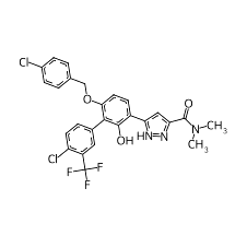 CN(C)C(=O)c1cc(-c2ccc(OCc3ccc(Cl)cc3)c(-c3ccc(Cl)c(C(F)(F)F)c3)c2O)[nH]n1